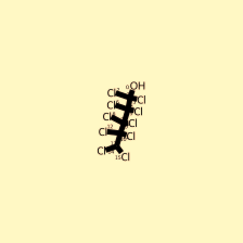 OC(Cl)(Cl)C(Cl)(Cl)C(Cl)(Cl)C(Cl)(Cl)C(Cl)Cl